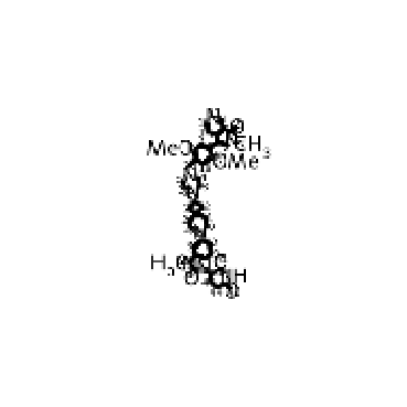 COc1cc(-c2cn(C)c(=O)c3cnccc23)c(OC)cc1CN1CCN(C2CC3(CCN(c4ccc5c(c4)n(C)c(=O)n5C4CCC(=O)NC4=O)CC3)C2)CC1